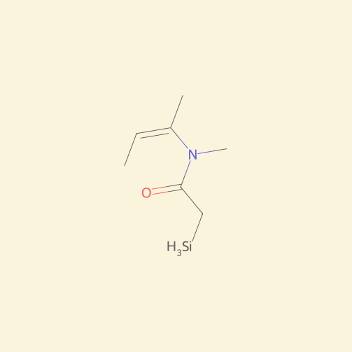 CC=C(C)N(C)C(=O)C[SiH3]